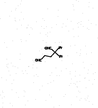 CC(C)C([C]=O)(CCC=O)C(C)C